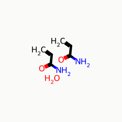 C=CC(N)=O.C=CC(N)=O.O